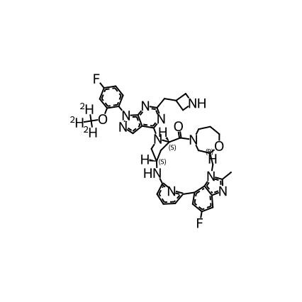 [2H]C([2H])([2H])Oc1cc(F)ccc1-n1ncc2c(N3C[C@@H]4C[C@H]3C(=O)N3CCCO[C@H](C3)Cn3c(C)nc5cc(F)cc(c53)-c3cccc(n3)N4)nc(CC3CNC3)nc21